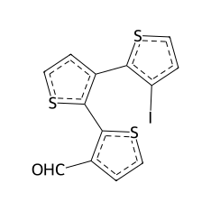 O=Cc1ccsc1-c1sccc1-c1sccc1I